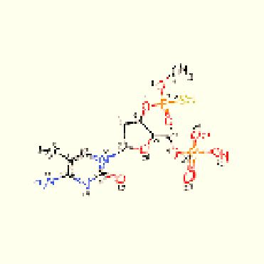 COP(=O)(S)O[C@@H]1C[C@H](n2cc(C)c(N)nc2=O)O[C@@H]1COP(=O)(O)O